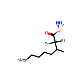 CCCCCCCCCCCCCC(C)C(CC)(CC)C(=O)ON